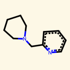 [c]1ccnc(CN2CCCCC2)c1